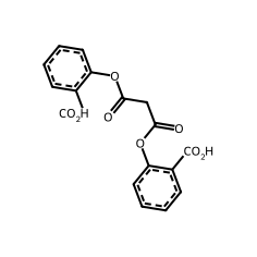 O=C(CC(=O)Oc1ccccc1C(=O)O)Oc1ccccc1C(=O)O